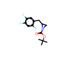 CC(C)(C)OC(=O)N1CC1Cc1cc(F)c(F)cc1F